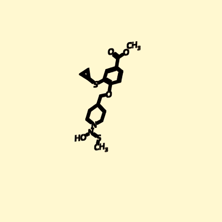 COC(=O)c1ccc(OCC2CCN(N(O)SC)CC2)c(SC2CC2)c1